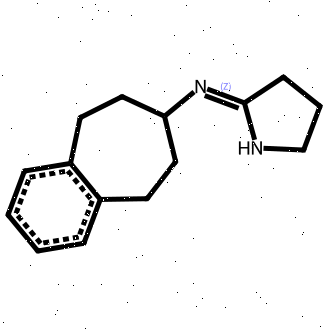 c1ccc2c(c1)CCC(/N=C1/CCCN1)CC2